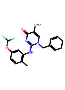 COc1cn(CC2=CCCC=C2)c(Nc2cc(OC(F)F)ccc2C)nc1=O